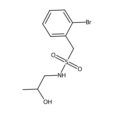 CC(O)CNS(=O)(=O)Cc1ccccc1Br